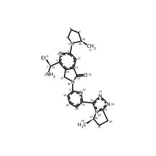 CC[C@H](N)c1nc(N2CCC[C@H]2C)cc2c1CN(c1cccc(-c3nnc4n3[C@H](C)CC4)n1)C2=O